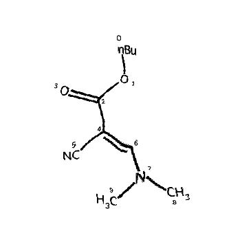 CCCCOC(=O)C(C#N)=CN(C)C